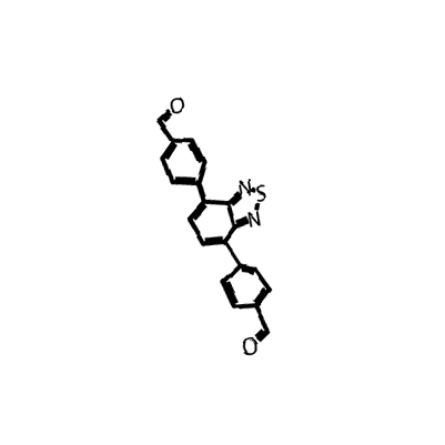 O=Cc1ccc(-c2ccc(-c3ccc(C=O)cc3)c3nsnc23)cc1